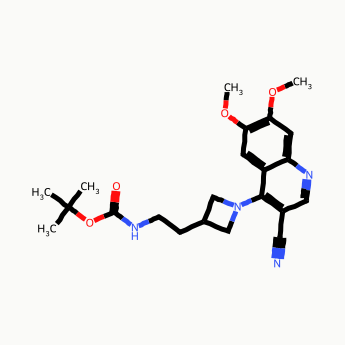 COc1cc2ncc(C#N)c(N3CC(CCNC(=O)OC(C)(C)C)C3)c2cc1OC